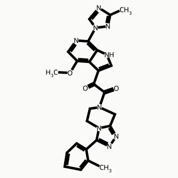 COc1cnc(-n2cnc(C)n2)c2[nH]cc(C(=O)C(=O)N3CCn4c(nnc4-c4ccccc4C)C3)c12